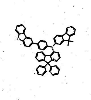 CC1(C)c2ccccc2-c2ccc(N(c3ccc(-c4ccc5oc6ccccc6c5c4)cc3)c3cccc4c3-c3ccccc3C4(c3ccccc3)c3ccccc3)cc21